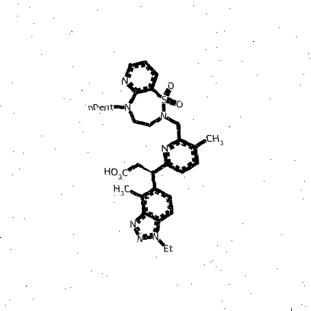 CCCCCN1CCN(Cc2nc([C@H](CC(=O)O)c3ccc4c(nnn4CC)c3C)ccc2C)S(=O)(=O)c2cccnc21